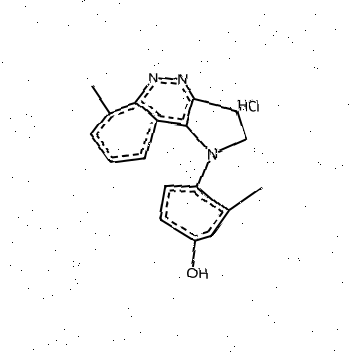 Cc1cc(O)ccc1N1CCc2nnc3c(C)cccc3c21.Cl